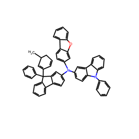 CC1C=C(C2(c3ccccc3)c3ccccc3-c3ccc(N(c4ccc5c(c4)oc4ccccc45)c4ccc5c(c4)c4ccccc4n5-c4ccccc4)cc32)C=CC1